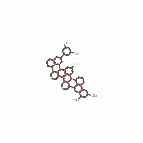 CC(C)(C)c1cc(-c2cccc(N(c3cc(Cl)cc(N(c4cccc(-c5cc(C(C)(C)C)cc(C(C)(C)C)c5)c4)c4c(-c5ccccc5)cncc4-c4ccccc4)c3)c3c(-c4ccccc4)cncc3-c3ccccc3)c2)cc(C(C)(C)C)c1